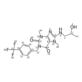 CC(O)CNc1nc2c(c(=O)n(Cc3ccc(C(F)(F)F)cc3)c(=O)n2C)n1C